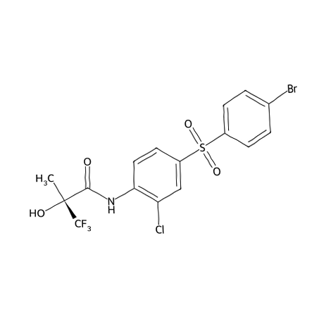 C[C@@](O)(C(=O)Nc1ccc(S(=O)(=O)c2ccc(Br)cc2)cc1Cl)C(F)(F)F